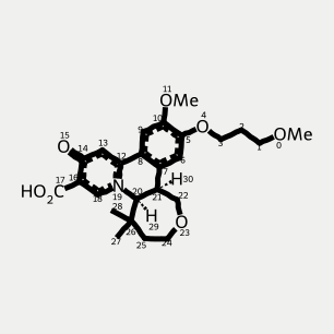 COCCCOc1cc2c(cc1OC)-c1cc(=O)c(C(=O)O)cn1[C@H]1[C@@H]2COCCC1(C)C